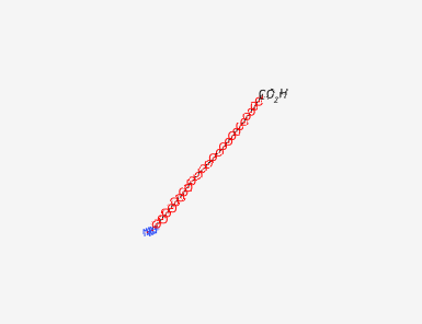 [N-]=[N+]=NCCOCCOCCOCCOCCOCCOCCOCCOCCOCCOCCOCCOCCOCCOCCOCCOCCOCCOCCOCCOCCOCCOCCOCCOCCC(=O)O